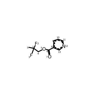 CC(F)(F)COC(=O)c1cccnc1